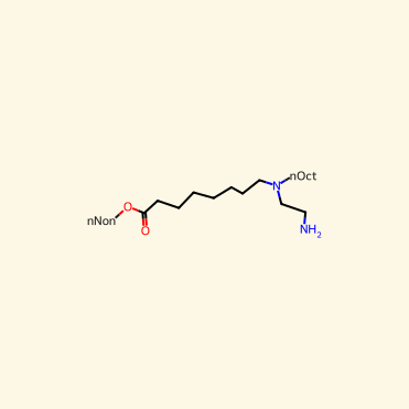 CCCCCCCCCOC(=O)CCCCCCCN(CCN)CCCCCCCC